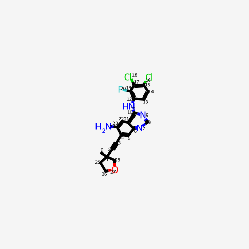 CC1(C#Cc2cc3ncnc(Nc4ccc(Cl)c(Cl)c4F)c3cc2N)CCOC1